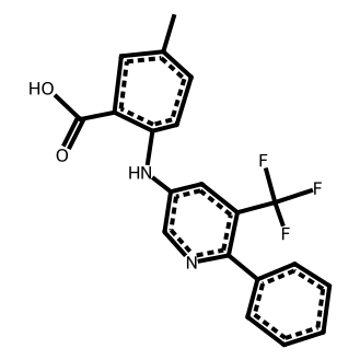 Cc1ccc(Nc2cnc(-c3ccccc3)c(C(F)(F)F)c2)c(C(=O)O)c1